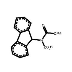 COC(=O)N(C(=O)O)C1c2ccccc2-c2ccccc21